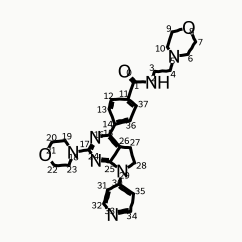 O=C(NCCN1CCOCC1)c1ccc(-c2nc(N3CCOCC3)nc3c2CCN3c2ccncc2)cc1